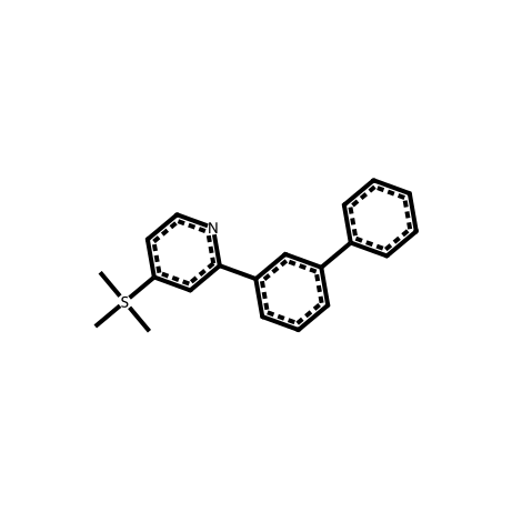 CS(C)(C)c1ccnc(-c2cccc(-c3ccccc3)c2)c1